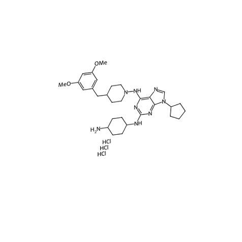 COc1cc(CC2CCN(Nc3nc(NC4CCC(N)CC4)nc4c3ncn4C3CCCC3)CC2)cc(OC)c1.Cl.Cl.Cl